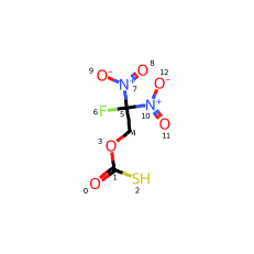 O=C(S)OCC(F)([N+](=O)[O-])[N+](=O)[O-]